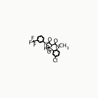 CN1C(=O)C(C(=O)Nc2cccc(C(F)(F)F)c2)S(=O)(=O)c2cc(Cl)ccc21